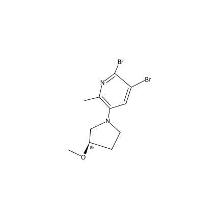 CO[C@@H]1CCN(c2cc(Br)c(Br)nc2C)C1